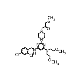 COCCN(CCOC)c1cc(NCc2ccc(Cl)cc2Cl)nc(N2CCN(CC(=O)CSC)CC2)n1